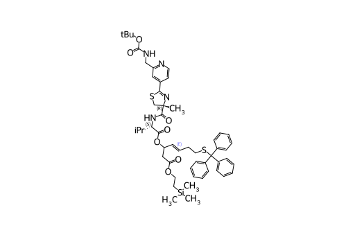 CC(C)[C@H](NC(=O)[C@]1(C)CSC(c2ccnc(CNC(=O)OC(C)(C)C)c2)=N1)C(=O)OC(/C=C/CCSC(c1ccccc1)(c1ccccc1)c1ccccc1)CC(=O)OCC[Si](C)(C)C